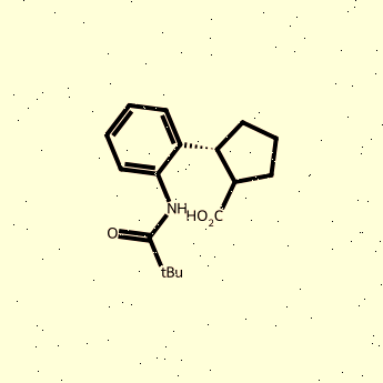 CC(C)(C)C(=O)Nc1ccccc1[C@@H]1CCCC1C(=O)O